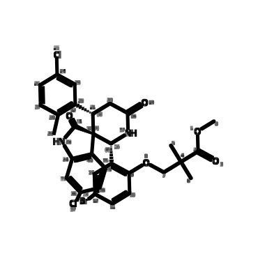 COC(=O)C(C)(C)COc1ccc(Br)cc1[C@H]1NC(=O)C[C@@H](c2cc(Cl)ccc2C)[C@]12C(=O)Nc1cc(Cl)ccc12